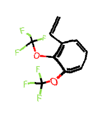 C=Cc1cccc(OC(F)(F)F)c1OC(F)(F)F